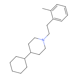 Cc1ccccc1CCN1CCC(C2CCCCC2)CC1